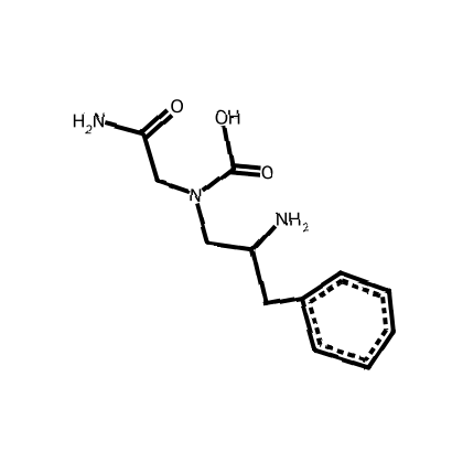 NC(=O)CN(CC(N)Cc1ccccc1)C(=O)O